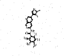 [2H]c1c([2H])c(C(=O)Nc2cc3cc(-c4cnc(C)n4C)cnc3cn2)c([2H])c([2H])c1OC